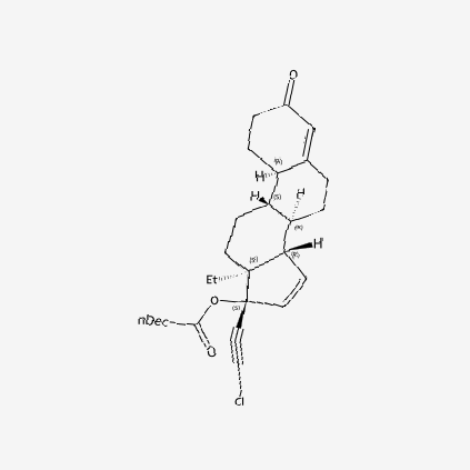 CCCCCCCCCCC(=O)O[C@@]1(C#CCl)C=C[C@H]2[C@@H]3CCC4=CC(=O)CC[C@@H]4[C@H]3CC[C@@]21CC